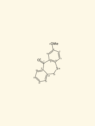 COc1ccc2c(c1)C(=O)c1ccccc1CS2